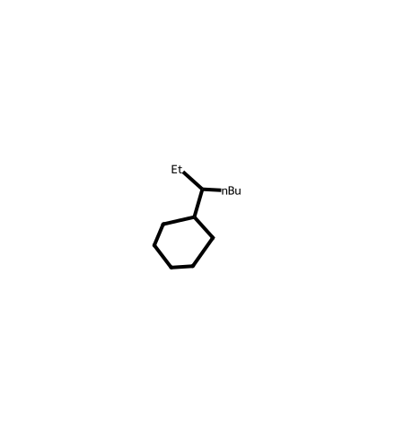 [CH2]CCCC(C[CH2])C1CCCCC1